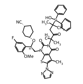 COc1ccc(F)cc1[C@H](Cn1c(=O)n(C(C)(C)C(=O)CC(C)(C)[Si](O)(c2ccccc2)c2ccccc2)c(=O)c2c(C)c(-n3nccn3)sc21)O[C@H]1CC[C@@H](C#N)CC1